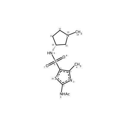 CC(=O)Nc1nc(C)c(S(=O)(=O)N[C@@H]2CCN(C)C2)s1